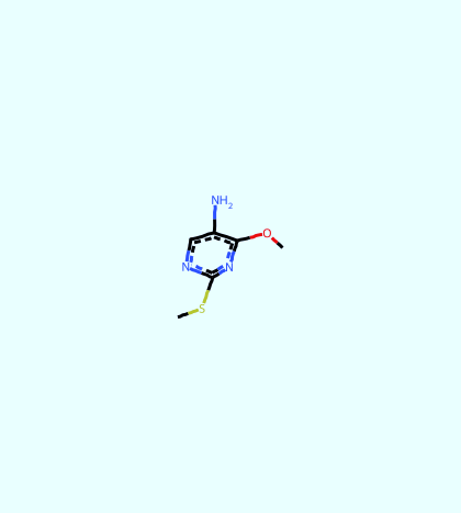 COc1nc(SC)ncc1N